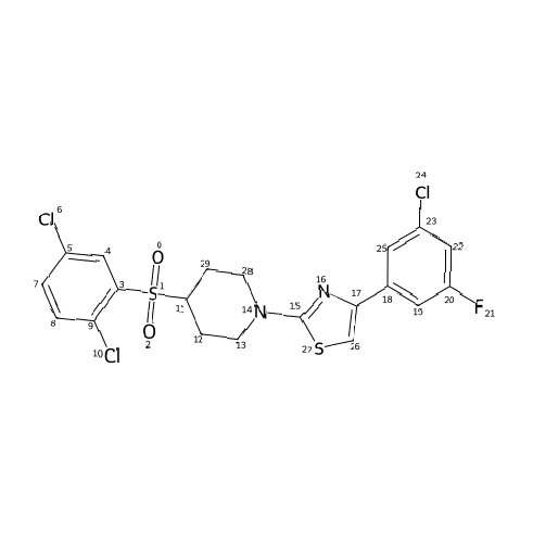 O=S(=O)(c1cc(Cl)ccc1Cl)C1CCN(c2nc(-c3cc(F)cc(Cl)c3)cs2)CC1